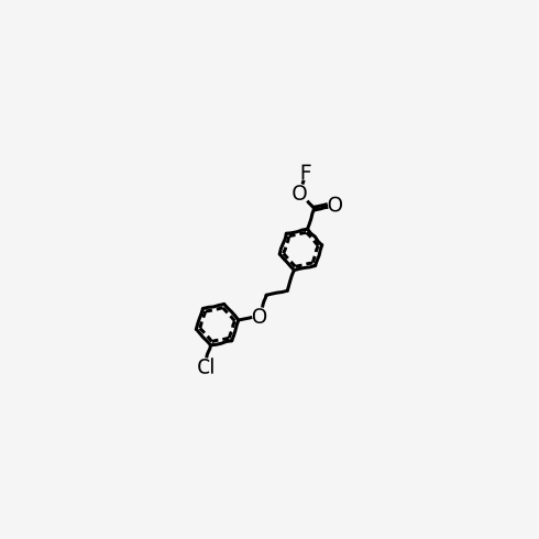 O=C(OF)c1ccc(CCOc2cccc(Cl)c2)cc1